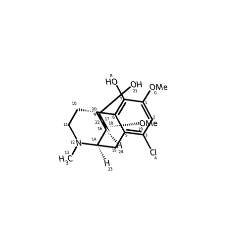 COc1cc(Cl)c2c(c1O)[C@]13CCN(C)[C@H](C2)[C@@H]1C[C@@H](OC)C(O)C3